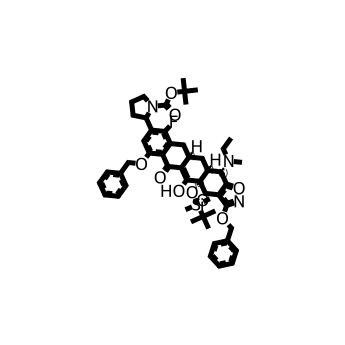 CCN(C)[C@@H]1c2onc(OCc3ccccc3)c2C(=O)[C@@]2(O[Si](C)(C)C(C)(C)C)C(O)=C3C(=O)c4c(OCc5ccccc5)cc(C5CCCN5C(=O)OC(C)(C)C)c(F)c4C[C@H]3C[C@@H]12